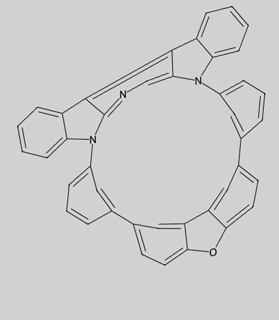 c1ccc2c(c1)c1c3c4ccccc4n4c5cccc(c5)c5ccc6oc7ccc(cc7c6c5)c5cccc(c5)n2c1cnc34